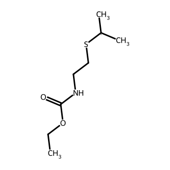 CCOC(=O)NCCS[C](C)C